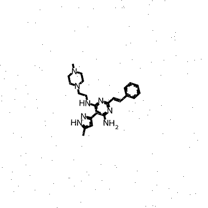 Cc1cc(-c2c(N)nc(C=Cc3ccccc3)nc2NCCN2CCN(C)CC2)n[nH]1